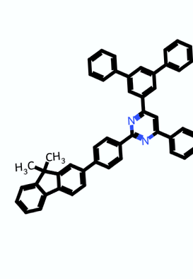 CC1(C)c2ccccc2-c2ccc(-c3ccc(-c4nc(-c5ccccc5)cc(-c5cc(-c6ccccc6)cc(-c6ccccc6)c5)n4)cc3)cc21